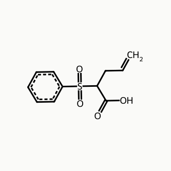 C=CCC(C(=O)O)S(=O)(=O)c1ccccc1